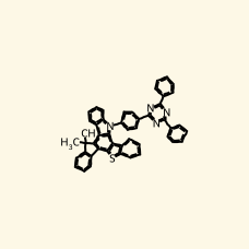 CC1(C)c2ccccc2-c2c1c1c3ccccc3n(-c3ccc(-c4nc(-c5ccccc5)nc(-c5ccccc5)n4)cc3)c1c1c2sc2ccccc21